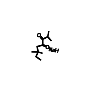 CCC(C)(C)CC(=O)C(=O)C(C)C.[NaH]